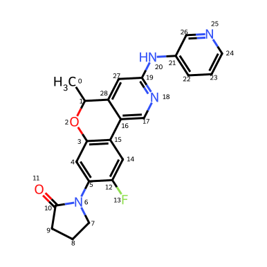 CC1Oc2cc(N3CCCC3=O)c(F)cc2-c2cnc(Nc3cccnc3)cc21